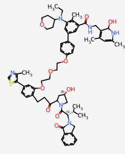 CCN(c1cc(-c2ccc(OCCOCCOc3cc(-c4scnc4C)ccc3CCC(=O)C3C[C@@H](O)CN3C(=O)[C@H](C(C)C)N3Cc4ccccc4C3=O)cc2)cc(C(=O)NCC2=C(C)C=C(C)NC2O)c1C)C1CCOCC1